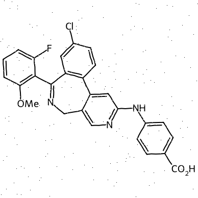 COc1cccc(F)c1C1=NCc2cnc(Nc3ccc(C(=O)O)cc3)cc2-c2ccc(Cl)cc21